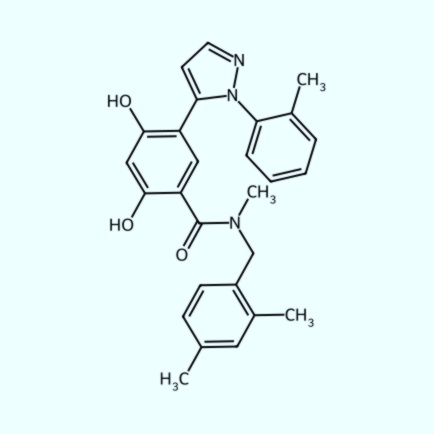 Cc1ccc(CN(C)C(=O)c2cc(-c3ccnn3-c3ccccc3C)c(O)cc2O)c(C)c1